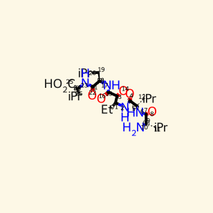 CCC(NC(=O)[C@@H](NC(=O)[C@@H](N)C(C)C)C(C)C)C(=O)C(=O)N[C@H](CC(C)C)C(=O)N[C@H](C(=O)O)C(C)C